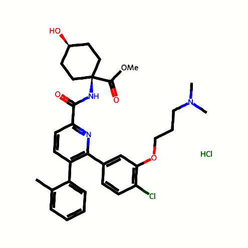 COC(=O)[C@]1(NC(=O)c2ccc(-c3ccccc3C)c(-c3ccc(Cl)c(OCCCN(C)C)c3)n2)CC[C@@H](O)CC1.Cl